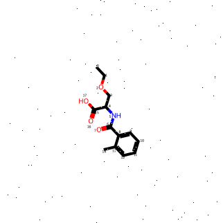 CCOCC(NC(=O)c1ccccc1C)C(=O)O